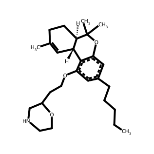 CCCCCc1cc(OCCC2CNCCO2)c2c(c1)OC(C)(C)[C@@H]1CCC(C)=C[C@@H]21